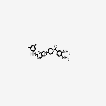 Cc1cc(C)cc(Nc2ncc3c(n2)CN(C2CCN(C(=O)c4ccc(N)c(N)c4)CC2)C3)c1